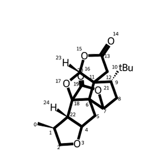 C[C@@H]1COC2CC34C5C[C@@H](C(C)(C)C)C36CC(=O)O[C@H]6OC4(C(=O)O5)[C@H]21